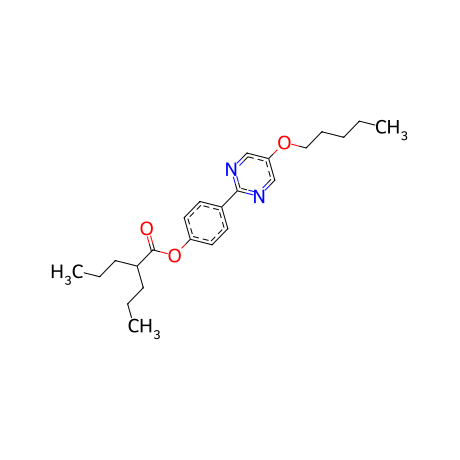 CCCCCOc1cnc(-c2ccc(OC(=O)C(CCC)CCC)cc2)nc1